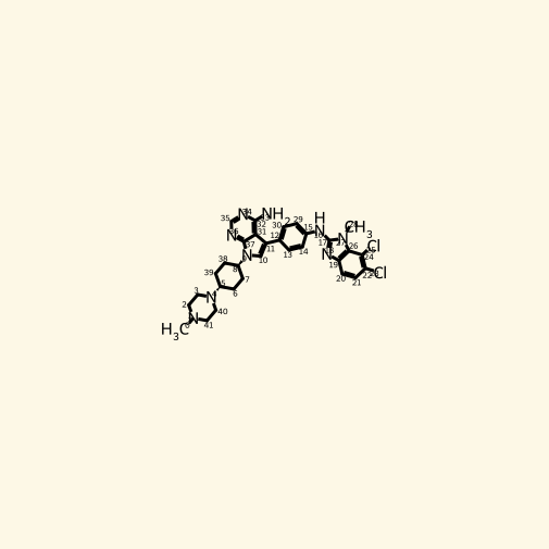 CN1CCN([C@H]2CC[C@H](n3cc(-c4ccc(Nc5nc6ccc(Cl)c(Cl)c6n5C)cc4)c4c(N)ncnc43)CC2)CC1